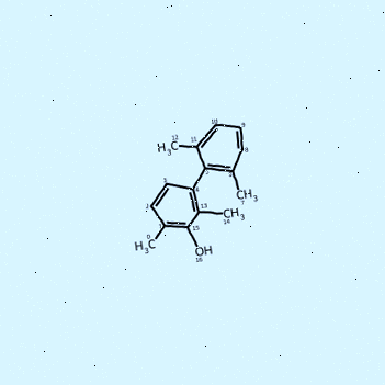 Cc1ccc(-c2c(C)cccc2C)c(C)c1O